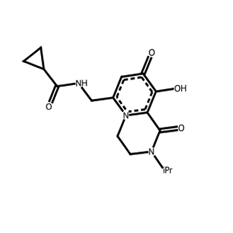 CC(C)N1CCn2c(CNC(=O)C3CC3)cc(=O)c(O)c2C1=O